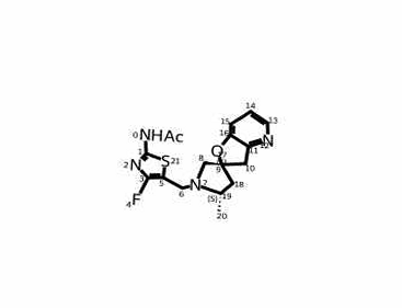 CC(=O)Nc1nc(F)c(CN2C[C@@]3(Cc4ncccc4O3)C[C@@H]2C)s1